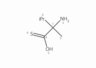 CC(C)C(C)(N)C(O)=S